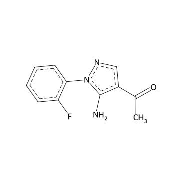 CC(=O)c1cnn(-c2ccccc2F)c1N